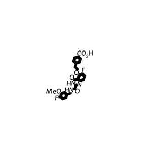 COc1cc(CNC(=O)c2nc3ccc(F)c(OCCc4ccc(C(=O)O)cc4)c3c(=O)[nH]2)ccc1F